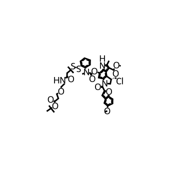 COC(=O)c1c(C)[nH]c2c(OC(=O)N(C)c3ccccc3SSC(C)(C)CC(=O)NCCOCCC(=O)OC(C)(C)C)cc3c(c12)[C@H](CCl)CN3C(=O)c1cc2cc(OC)ccc2o1